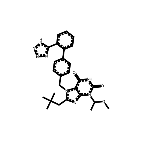 COC(C)n1c(=O)[nH]c(=O)c2c1nc(CC(C)(C)C)n2Cc1ccc(-c2ccccc2-c2nnn[nH]2)cc1